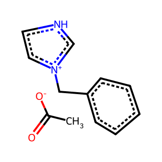 CC(=O)[O-].c1ccc(C[n+]2cc[nH]c2)cc1